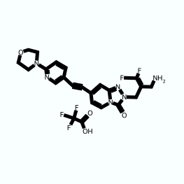 NCC(Cn1nc2cc(C#Cc3ccc(N4CCOCC4)nc3)ccn2c1=O)=C(F)F.O=C(O)C(F)(F)F